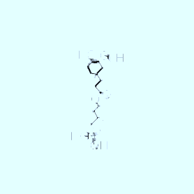 COc1cc(/C=C/C(=O)OCCCCON(O)O)ccc1C